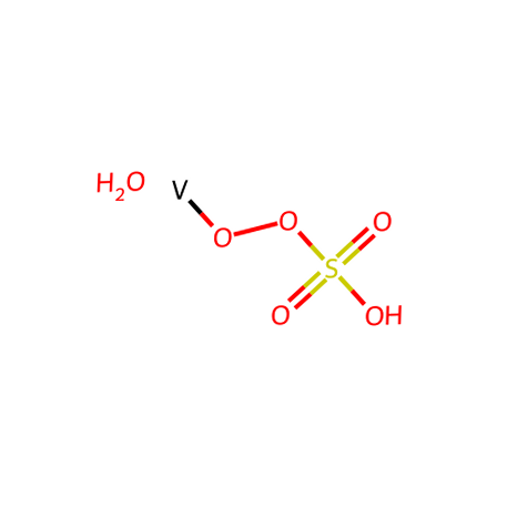 O.O=S(=O)(O)O[O][V]